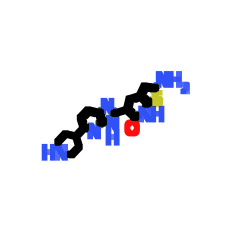 Nc1cc2cc(-c3nc4ccc(C5CCNCC5)nc4[nH]3)c(=O)[nH]c2s1